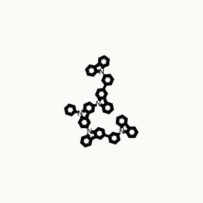 c1ccc(-n2c3ccc(-n4c5ccccc5c5cc(-c6cccc(-n7c8ccccc8c8ccccc87)c6)ccc54)cc3c3cc(-n4c5ccccc5c5cc(-c6cccc(-n7c8ccccc8c8ccccc87)c6)ccc54)ccc32)cc1